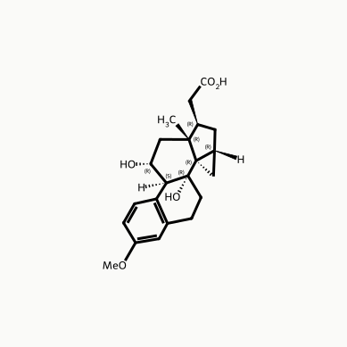 COc1ccc2c(c1)CC[C@@]1(O)[C@@H]2[C@H](O)C[C@]2(C)[C@@H](CC(=O)O)C[C@@H]3C[C@]312